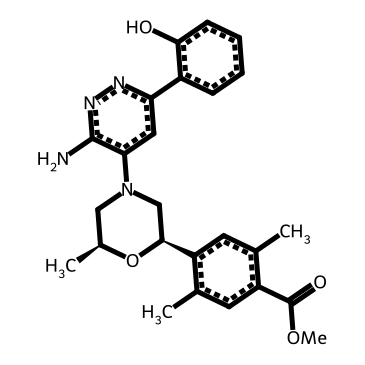 COC(=O)c1cc(C)c([C@@H]2CN(c3cc(-c4ccccc4O)nnc3N)C[C@H](C)O2)cc1C